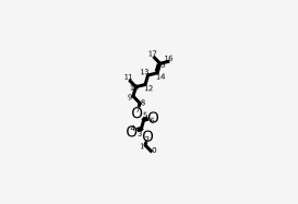 CCOC(=O)C(=O)OCCC(C)CCC=C(C)C